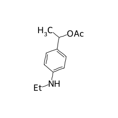 CCNc1ccc(C(C)OC(C)=O)cc1